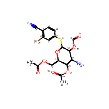 CC(=O)OCC1OC(Sc2ccc(C#N)c(Br)c2)C(OC=O)C(N)C1OC(C)=O